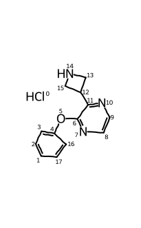 Cl.c1ccc(Oc2nccnc2C2CNC2)cc1